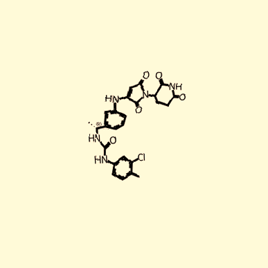 Cc1ccc(NC(=O)N[C@H](C)c2cccc(NC3=CC(=O)N(C4CCC(=O)NC4=O)C3=O)c2)cc1Cl